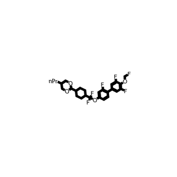 CCCC1COC(C2CCC(C(F)(F)Oc3ccc(-c4cc(F)c(OCF)c(F)c4)c(F)c3)CC2)OC1